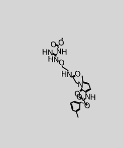 COC(=O)NC(=N)NOCCNC(=O)Cn1c(C)ccc(NS(=O)(=O)c2cccc(C)c2)c1=O